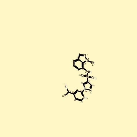 CCn1ncc2cccc(NS(=O)(=O)c3cnn(-c4cc(C(F)F)ccn4)c3)c21